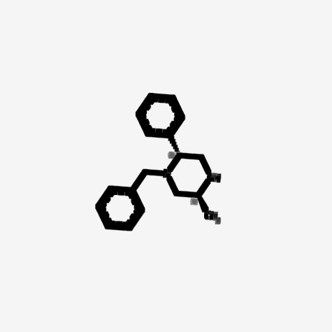 C[C@H]1CN(Cc2ccccc2)[C@H](c2ccccc2)CN1